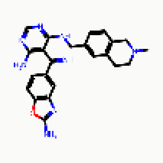 CN1CCc2cc(CNc3ncnc(N)c3C(=N)c3ccc4oc(N)nc4c3)ccc2C1